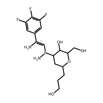 N/C(=C\N(N)C1CC(CCCO)OC(CO)C1O)c1cc(F)c(F)c(F)c1